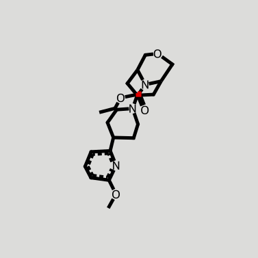 CCOC(=O)N1C2COCC1CC(N1CCC(c3cccc(OC)n3)CC1)C2